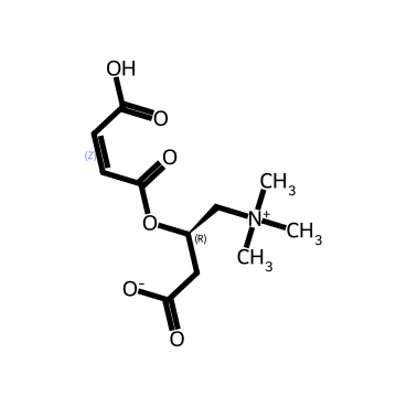 C[N+](C)(C)C[C@@H](CC(=O)[O-])OC(=O)/C=C\C(=O)O